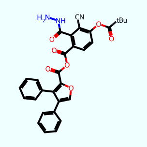 CC(C)(C)C(=O)Oc1ccc(C(=O)OC(=O)c2occ(-c3ccccc3)c2-c2ccccc2)c(C(=O)NN)c1C#N